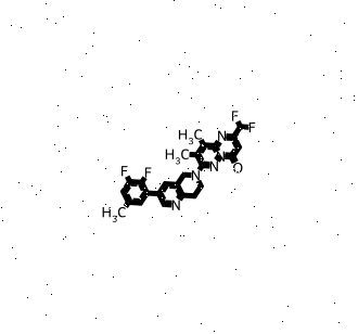 Cc1cc(F)c(F)c(-c2cnc3c(c2)CN(c2nn4c(=O)cc(C(F)F)nc4c(C)c2C)CC3)c1